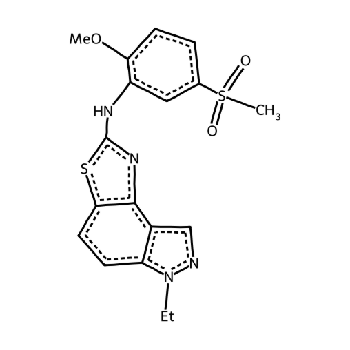 CCn1ncc2c3nc(Nc4cc(S(C)(=O)=O)ccc4OC)sc3ccc21